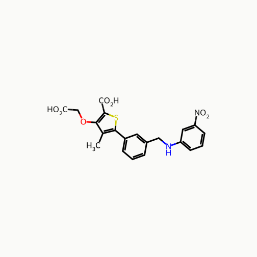 Cc1c(-c2cccc(CNc3cccc([N+](=O)[O-])c3)c2)sc(C(=O)O)c1OCC(=O)O